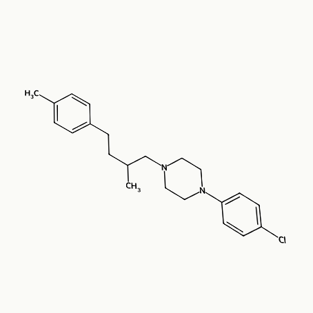 Cc1ccc(CCC(C)CN2CCN(c3ccc(Cl)cc3)CC2)cc1